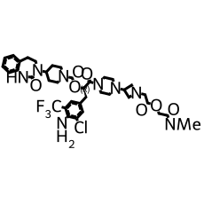 CNC(=O)COC(=O)CN1CC(N2CCN(C(=O)[C@@H](Cc3cc(Cl)c(N)c(C(F)(F)F)c3)OC(=O)N3CCC(N4CCc5ccccc5NC4=O)CC3)CC2)C1